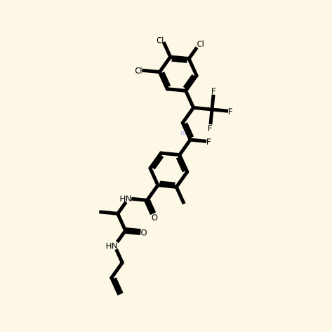 C=CCNC(=O)C(C)NC(=O)c1ccc(/C(F)=C/C(c2cc(Cl)c(Cl)c(Cl)c2)C(F)(F)F)cc1C